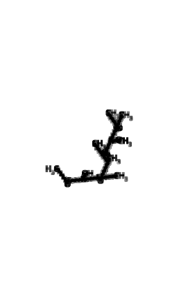 CCCCCCCCCC(=O)SCCCCCCCN(CCO)CCCCCCCSC(=O)C(CCCCCCCC)CCCCCCCCC(CC)CCCC(CCCCCCCC)C(=O)OCCCCCCN(CCCCCCSC(=O)C(CCCCCC)CCCCCCCC)CCCOC